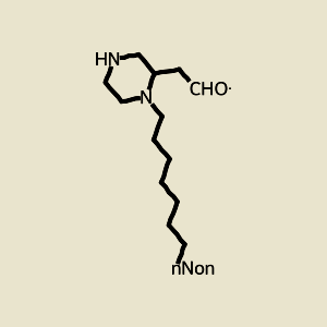 CCCCCCCCCCCCCCCCN1CCNCC1C[C]=O